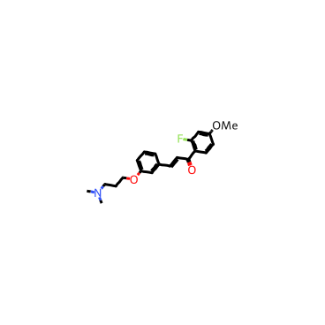 COc1ccc(C(=O)C=Cc2cccc(OCCCN(C)C)c2)c(F)c1